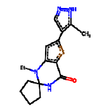 CCN1c2cc(-c3cn[nH]c3C)sc2C(=O)NC12CCCC2